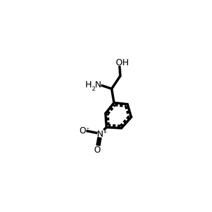 NC(CO)c1cccc([N+](=O)[O-])c1